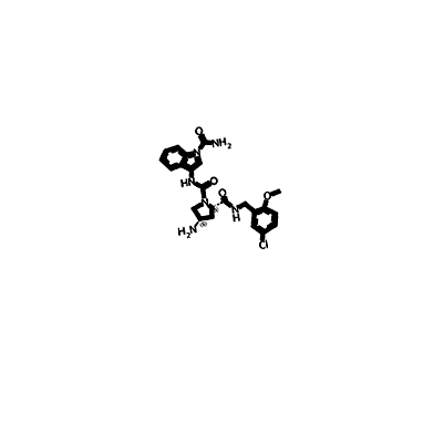 COc1ccc(Cl)cc1CNC(=O)[C@@H]1C[C@H](N)CN1C(=O)Nc1cn(C(N)=O)c2ccccc12